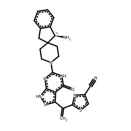 C=C(c1nc(C#N)cs1)c1n[nH]c2nc(N3CCC4(CC3)Cc3ccccc3[C@H]4N)[nH]c(=O)c12